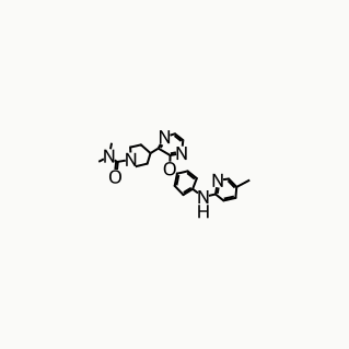 Cc1ccc(Nc2ccc(Oc3nccnc3C3CCN(C(=O)N(C)C)CC3)cc2)nc1